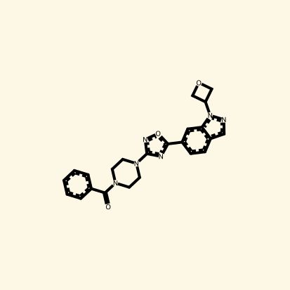 O=C(c1ccccc1)N1CCN(c2noc(-c3ccc4cnn(C5COC5)c4c3)n2)CC1